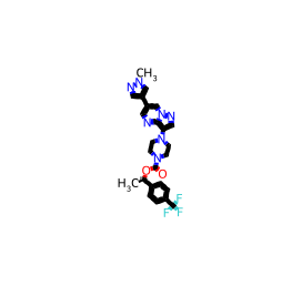 C[C@@H](OC(=O)N1CCN(c2cnn3cc(-c4cnn(C)c4)cnc23)CC1)c1ccc(C(F)(F)F)cc1